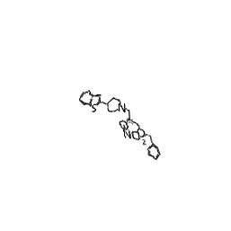 O=[N+]([O-])O[C@H](COCc1ccccc1)CN1CCC(c2cc3ccccc3s2)CC1